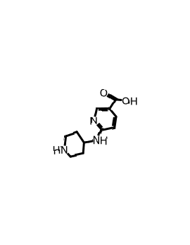 O=C(O)c1ccc(NC2CCNCC2)nc1